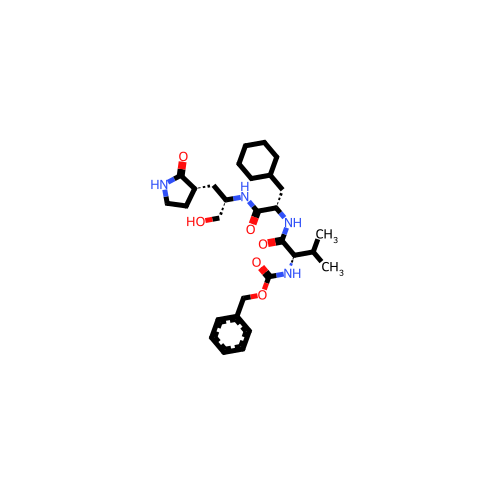 CC(C)[C@H](NC(=O)OCc1ccccc1)C(=O)N[C@@H](CC1CCCCC1)C(=O)N[C@H](CO)C[C@@H]1CCNC1=O